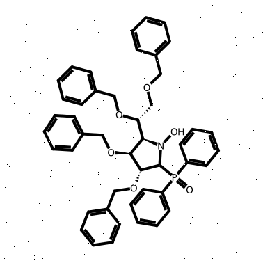 O=P(c1ccccc1)(c1ccccc1)C1[C@H](OCc2ccccc2)[C@@H](OCc2ccccc2)[C@@H]([C@@H](COCc2ccccc2)OCc2ccccc2)N1O